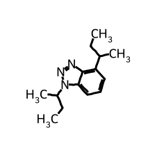 CCC(C)c1cccc2c1nnn2C(C)CC